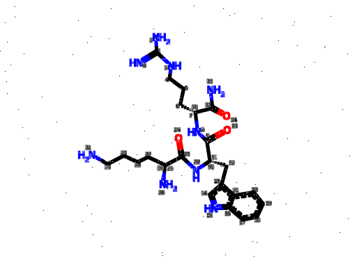 N=C(N)NCCC[C@@H](NC(=O)[C@H](Cc1c[nH]c2ccccc12)NC(=O)[C@@H](N)CCCCN)C(N)=O